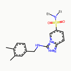 CCN(CC)S(=O)(=O)c1ccc2nnc(NCc3ccc(C)c(C)c3)n2c1